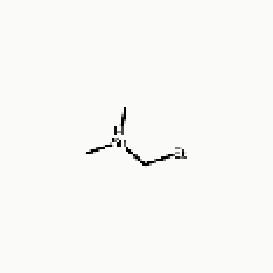 [CH2]C[CH2][SnH]([CH3])[CH3]